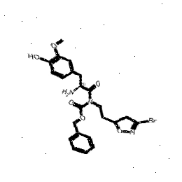 COc1cc(C[C@H](N)C(=O)N(CCC2CC(Br)=NO2)C(=O)OCc2ccccc2)ccc1O